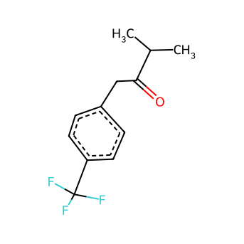 CC(C)C(=O)Cc1ccc(C(F)(F)F)cc1